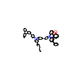 C=C(/C=C\C=C/C)c1ccc2c(c1)c1cc(-c3ccc(N(c4ccc(-c5ccccc5)cc4)c4cccc5oc6ccccc6c45)cc3)ccc1n2-c1ccc(-c2ccc3c4ccccc4c4ccccc4c3c2)cc1